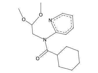 COC(CN(C(=O)C1CCCCC1)c1ccccn1)OC